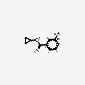 S=C(OC1CC1)c1cccc(Br)c1